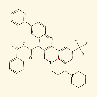 C[C@H](NC(=O)c1c(CN2CCC(N3CCCCC3)CC2)c(-c2cccc(C(F)(F)F)c2)nc2ccc(-c3ccccc3)cc12)c1ccccc1